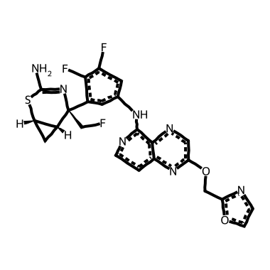 NC1=N[C@](CF)(c2cc(Nc3nccc4nc(OCc5ncco5)cnc34)cc(F)c2F)[C@@H]2C[C@@H]2S1